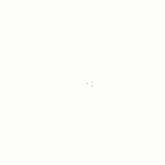 CC(C)(C)C(=O)N1CCCC1=S